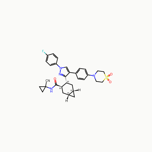 N#CC1(NC(=O)[C@@H]2C[C@H]3C[C@H]3C[C@H]2c2nn(-c3ccc(F)cc3)cc2-c2ccc(N3CCS(=O)(=O)CC3)cc2)CC1